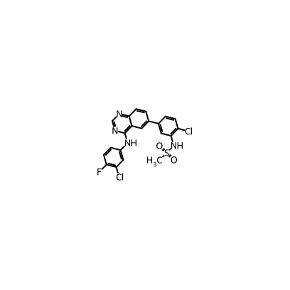 CS(=O)(=O)Nc1cc(-c2ccc3ncnc(Nc4ccc(F)c(Cl)c4)c3c2)ccc1Cl